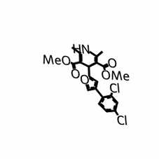 COC(=O)C1=C(C)NC(C)=C(C(=O)OC)C1c1cc(-c2ccc(Cl)cc2Cl)co1